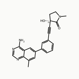 Cc1cc(-c2cccc(C#C[C@@]3(O)CCN(C)C3=O)c2)cc2c(N)ncnc12